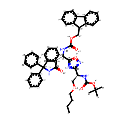 CCCCOC[C@H](NC(=O)OC(C)(C)C)c1noc([C@H](CC(=O)NC(c2ccccc2)(c2ccccc2)c2ccccc2)NC(=O)OCC2c3ccccc3-c3ccccc32)n1